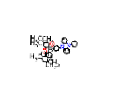 CC(C)(C)c1cc2c3c(c1)Oc1c(ccc4c1C(C)(C)CCC4(C)C)B3c1ccc(N3c4ccccc4N(c4ccccc4)c4ccccc43)cc1O2